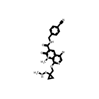 CNSC1(COc2ncc(Br)c3cc(C(=O)NCc4ccc(C#N)cc4)c(=O)n(C)c23)CC1